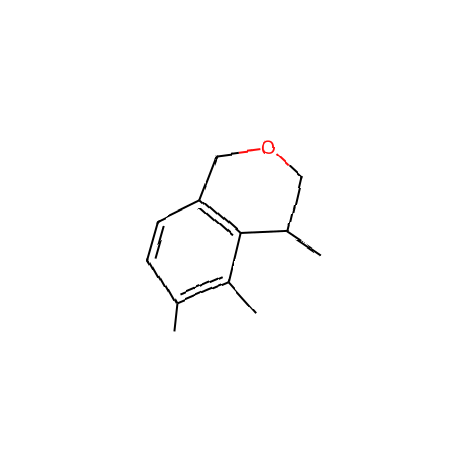 Cc1ccc2c(c1C)C(C)COC2